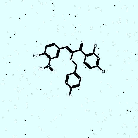 O=C(C(=Cc1ccc(O)c([N+](=O)[O-])c1)SCc1ccc(Br)cc1)c1ccc(Cl)cc1Cl